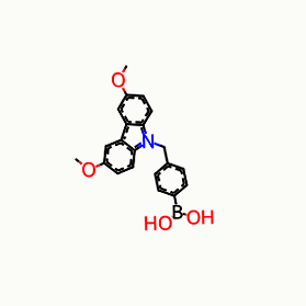 COc1ccc2c(c1)c1cc(OC)ccc1n2Cc1ccc(B(O)O)cc1